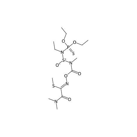 CCOP(=S)(OCC)N(CC)[S+]([O-])N(C)C(=O)O/N=C(\SC)C(=O)N(C)C